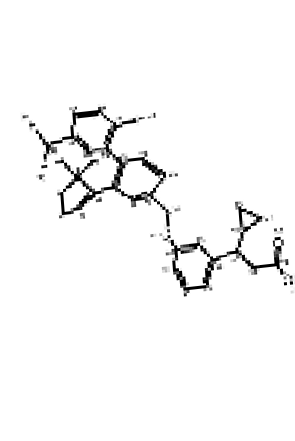 CC1(C)CCC=C1c1cc(COc2cccc(C(CC(=O)O)C3CC3)c2)ccc1-c1cc(C(F)F)ccc1F